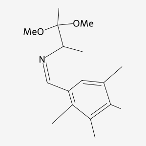 COC(C)(OC)C(C)/N=C\c1cc(C)c(C)c(C)c1C